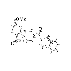 COc1ccc2c(c1)C1(CCN(C(=O)c3ccc4ccccc4c3)CC1)OC2=O